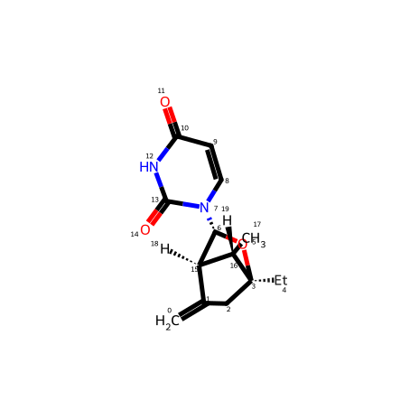 C=C1C[C@]2(CC)O[C@@H](n3ccc(=O)[nH]c3=O)[C@H]1[C@@H]2C